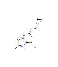 Cc1nc2c(F)cc(OCC3CC3)cc2o1